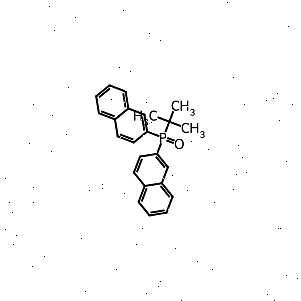 CC(C)(C)P(=O)(c1ccc2ccccc2c1)c1ccc2ccccc2c1